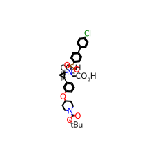 CC(C)(C)OC(=O)N1CCC(Oc2cccc([C@H]3C[C@]3(C(=O)O)N(CC(=O)O)S(=O)(=O)c3ccc(-c4ccc(Cl)cc4)cc3)c2)CC1